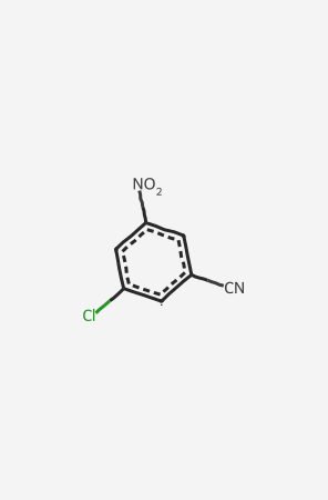 N#Cc1[c]c(Cl)cc([N+](=O)[O-])c1